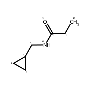 CCC(=O)NCC1CC1